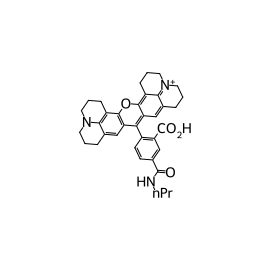 CCCNC(=O)c1ccc(C2=c3cc4c5c(c3Oc3c2cc2c6c3CCCN6CCC2)CCC[N+]=5CCC4)c(C(=O)O)c1